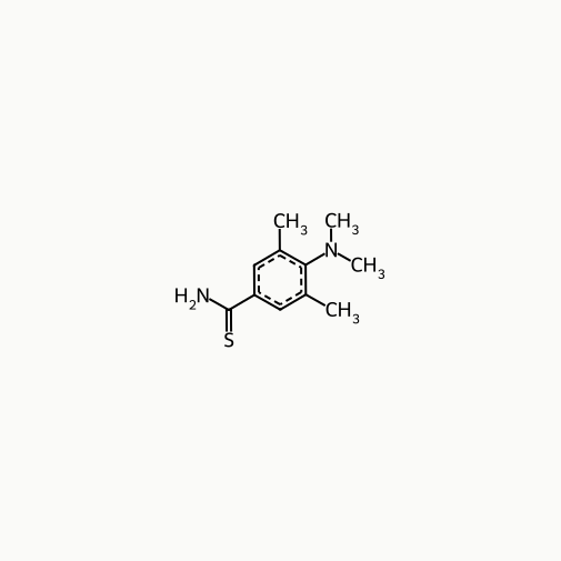 Cc1cc(C(N)=S)cc(C)c1N(C)C